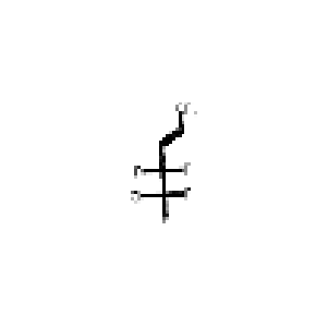 FC(F)(F)/C=C/C(F)(F)C(F)(F)Cl